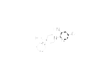 CC1(N2CCCCC2)CCN(c2ncc(Br)cc2N)CC1